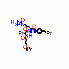 CC(C)Cc1ccc(NC(=O)[C@H](CCCNC(N)=O)NC(=O)C(NC(=O)CCCOC(C)C)C(C)C)cc1